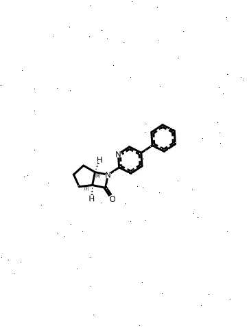 O=C1[C@H]2CCC[C@H]2N1c1ccc(-c2ccccc2)cn1